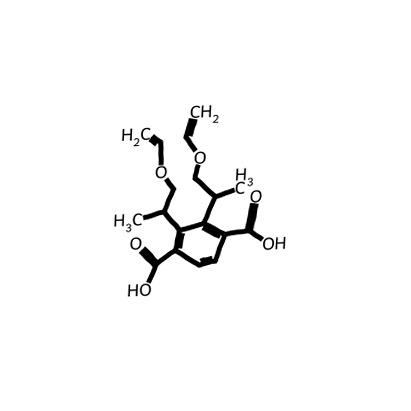 C=COCC(C)c1c(C(=O)O)ccc(C(=O)O)c1C(C)COC=C